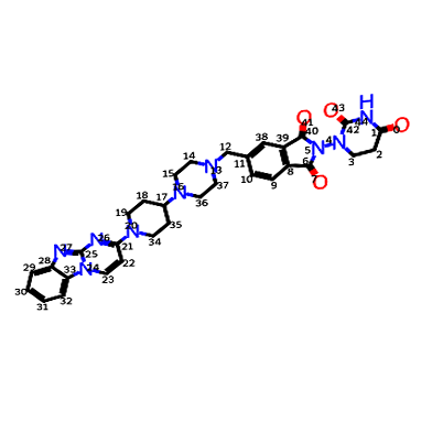 O=C1CCN(N2C(=O)c3ccc(CN4CCN(C5CCN(c6ccn7c(n6)nc6ccccc67)CC5)CC4)cc3C2=O)C(=O)N1